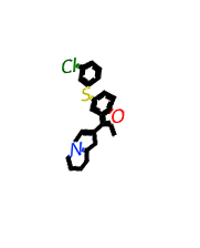 Cc1oc2ccc(Sc3cccc(Cl)c3)cc2c1C1=CCN2CCCCC2C1